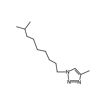 Cc1cn(CCCCCCCC(C)C)nn1